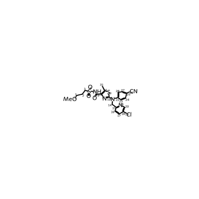 COCCCS(=O)(=O)NC(=O)c1nc(N(Cc2ccc(Cl)cn2)c2ccc(C#N)cc2)sc1C